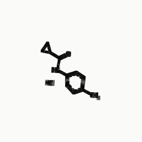 Cc1ccc(NC(=O)C2CC2)cc1.Cl